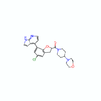 O=C(C1Cc2cc(Cl)cc(-c3ccnc4[nH]ccc34)c2O1)N1CCC(N2CCOCC2)CC1